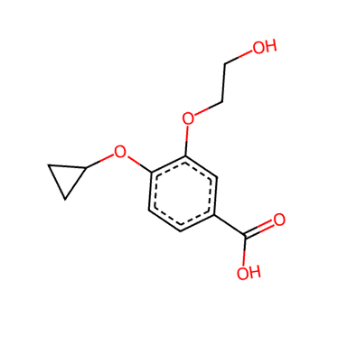 O=C(O)c1ccc(OC2CC2)c(OCCO)c1